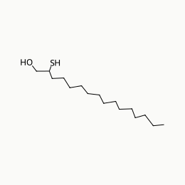 CCCCCCCCCCCCCCC(S)CO